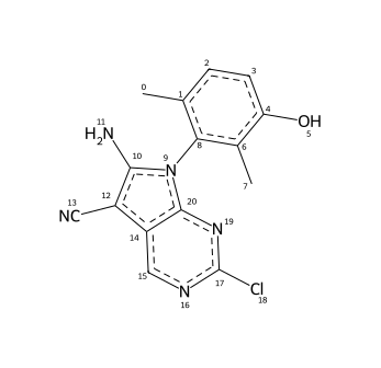 Cc1ccc(O)c(C)c1-n1c(N)c(C#N)c2cnc(Cl)nc21